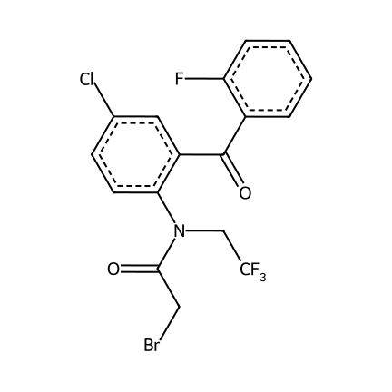 O=C(c1ccccc1F)c1cc(Cl)ccc1N(CC(F)(F)F)C(=O)CBr